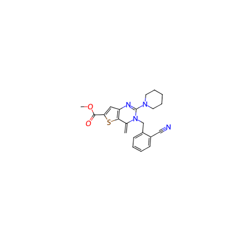 C=C1c2sc(C(=O)OC)cc2N=C(N2CCCCC2)N1Cc1ccccc1C#N